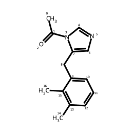 CC(=O)n1cncc1Cc1cccc(C)c1C